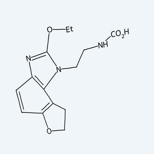 CCOc1nc2ccc3c(c2n1CCNC(=O)O)CCO3